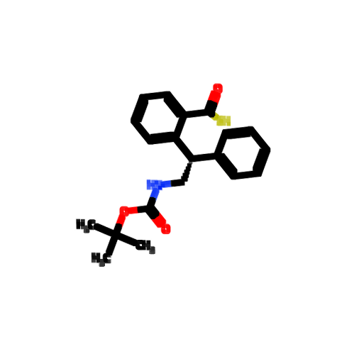 CC(C)(C)OC(=O)NC[C@@H](c1ccccc1)c1ccccc1C(=O)S